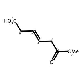 COC(=O)C/C=C/CC(=O)O